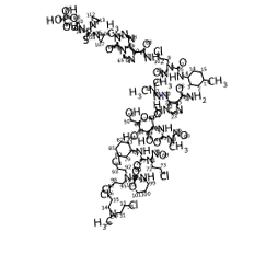 CC1CCC(NC(=O)N(CCCl)N=O)CC1.CN(C)/N=N/c1[nH]cnc1C(N)=O.CN(CCCl)CCCl.CN(N=O)C(=O)N[C@@H]1[C@@H](O)[C@H](O)[C@@H](CO)O[C@@H]1O.Cn1nnc2c(C(N)=O)ncn2c1=O.O=NN(CCCl)C(=O)NC1CCCCC1.O=P(O)(O)O.O=P1(N(CCCl)CCCl)NCCCO1.S=P(N1CC1)(N1CC1)N1CC1